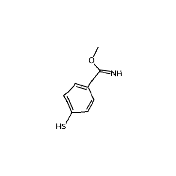 COC(=N)c1ccc(S)cc1